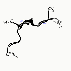 CC=C/C(C)=C\C=C(/C)C(F)(F)F